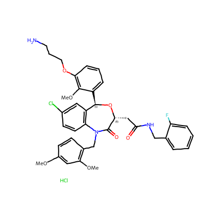 COc1ccc(CN2C(=O)[C@@H](CC(=O)NCc3ccccc3F)O[C@H](c3cccc(OCCCN)c3OC)c3cc(Cl)ccc32)c(OC)c1.Cl